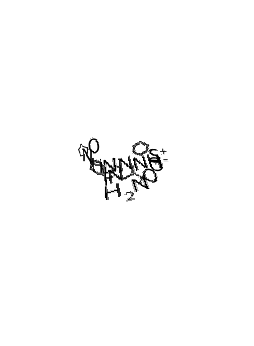 C[S+]([O-])c1ccccc1Nc1nc(Nc2cc(N3CCCC3=O)ccc2F)ncc1C(N)=O